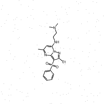 CCc1nn2c(NCCN(C)C)cc(C)nc2c1S(=O)(=O)c1ccccc1